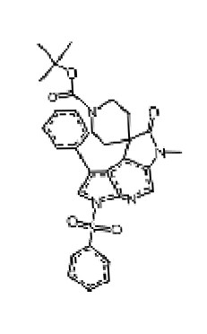 CN1C(=O)C2(CCN(C(=O)OC(C)(C)C)CC2)c2c1cnc1c2c(-c2ccccc2)cn1S(=O)(=O)c1ccccc1